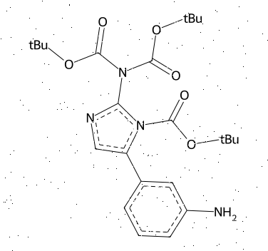 CC(C)(C)OC(=O)N(C(=O)OC(C)(C)C)c1ncc(-c2cccc(N)c2)n1C(=O)OC(C)(C)C